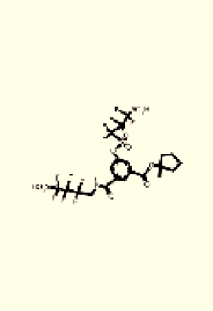 CC1(OC(=O)c2cc(OS(=O)(=O)C(F)(F)C(F)(F)C(F)(F)S(=O)(=O)O)cc(C(=O)NCC(F)(F)C(F)(F)C(F)(F)S(=O)(=O)O)c2)CCCC1